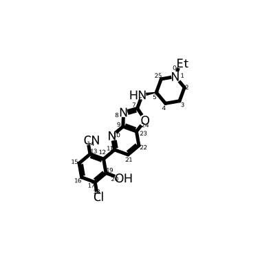 CCN1CCC[C@@H](Nc2nc3nc(-c4c(C#N)ccc(Cl)c4O)ccc3o2)C1